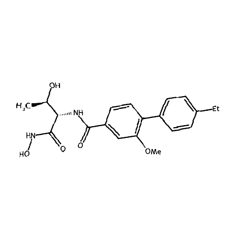 CCc1ccc(-c2ccc(C(=O)N[C@H](C(=O)NO)[C@@H](C)O)cc2OC)cc1